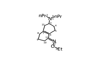 CCCN(CCC)C1CCC2=C(CCCC2=NOCC)C1